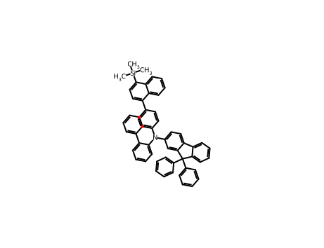 C[Si](C)(C)c1ccc(-c2ccc(N(c3ccc4c(c3)C(c3ccccc3)(c3ccccc3)c3ccccc3-4)c3ccccc3-c3ccccc3)cc2)c2ccccc12